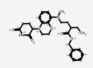 CCC(CCN(C)c1cccc2c1OCCN2C1CCC(=O)NC1=O)C(=O)OCc1ccccc1